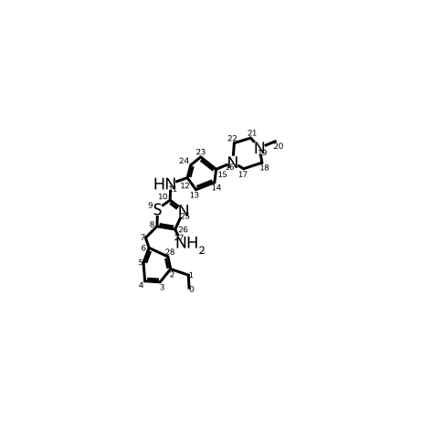 CCc1cccc(Cc2sc(Nc3ccc(N4CCN(C)CC4)cc3)nc2N)c1